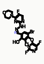 Oc1c(/C=N\Nc2ncc(F)c(N3CCOCC3)n2)cc(Br)c(Oc2nc(F)ncc2F)c1Cl